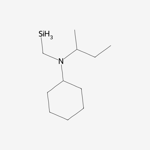 CCC(C)N(C[SiH3])C1CCCCC1